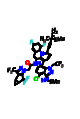 CSNc1nn(CC(F)(F)F)c2c(-c3ccc(C#CC(C)(C)SC)nc3C(Cc3cc(F)cc(F)c3)NC(=O)Cn3nc(C(F)(F)F)c4c3C(F)(F)C3CC43)ccc(Cl)c12